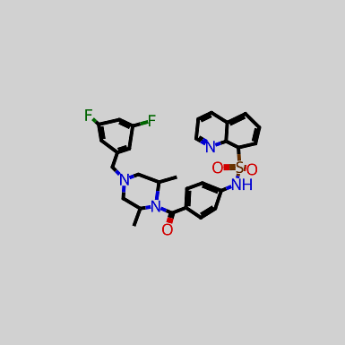 CC1CN(Cc2cc(F)cc(F)c2)CC(C)N1C(=O)c1ccc(NS(=O)(=O)C2C=CC=C3C=CC=NC32)cc1